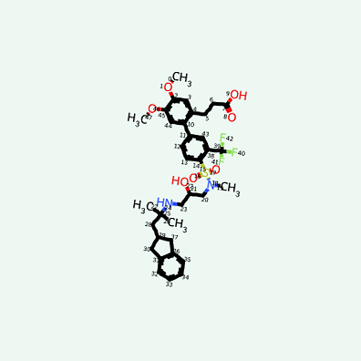 COc1cc(CCC(=O)O)c(-c2ccc(S(=O)(=O)N(C)CC(O)CNC(C)(C)CC3Cc4ccccc4C3)c(C(F)(F)F)c2)cc1OC